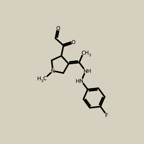 CC(NNc1ccc(F)cc1)=C1CN(C)CC1C(=O)C=O